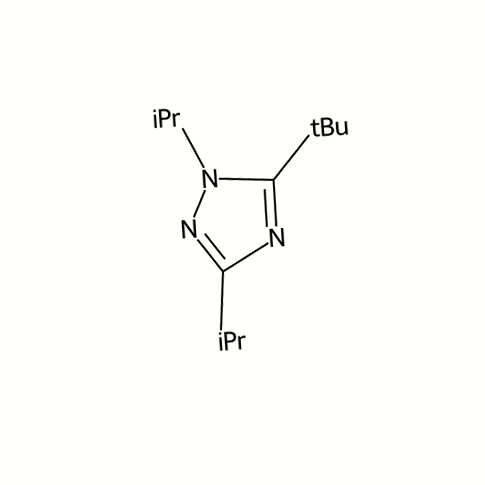 CC(C)c1nc(C(C)(C)C)n(C(C)C)n1